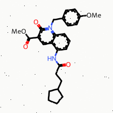 COC(=O)c1cc2c(NC(=O)CCC3CCCC3)cccc2n(Cc2ccc(OC)cc2)c1=O